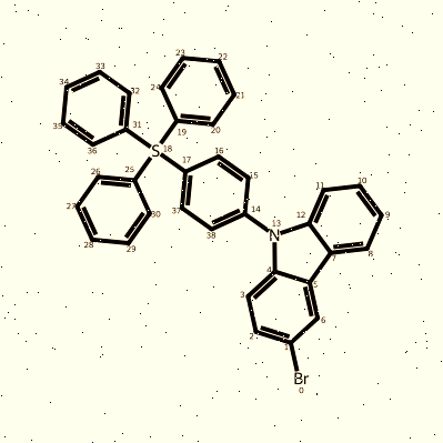 Brc1ccc2c(c1)c1ccccc1n2-c1ccc(S(c2ccccc2)(c2ccccc2)c2ccccc2)cc1